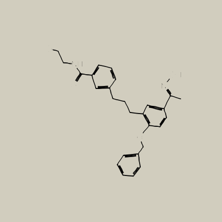 CC(=NO)c1ccc(OCc2ccccc2)c(CCCc2cccc(C(=O)NCCO)c2)c1